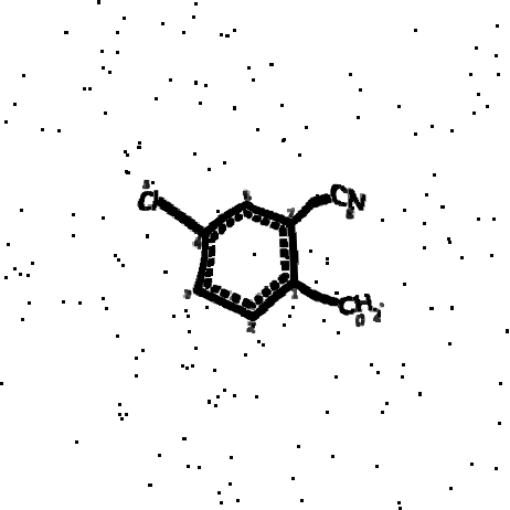 [CH2]c1ccc(Cl)cc1C#N